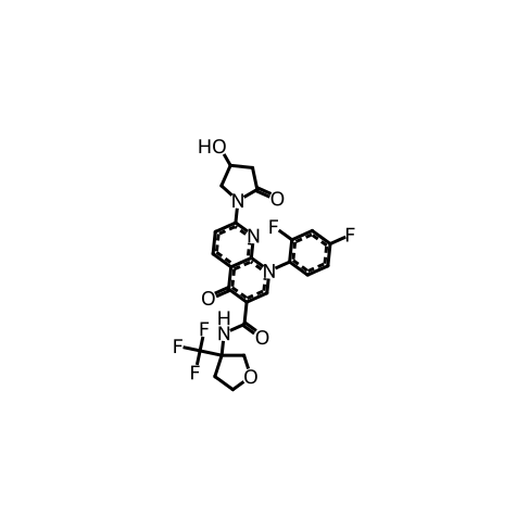 O=C(NC1(C(F)(F)F)CCOC1)c1cn(-c2ccc(F)cc2F)c2nc(N3CC(O)CC3=O)ccc2c1=O